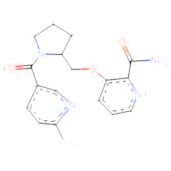 CC(C)(C)c1ccc(C(=O)N2CCCC2COc2cccnc2C(N)=O)cn1